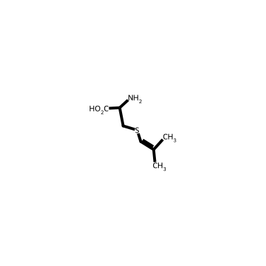 CC(C)=CSCC(N)C(=O)O